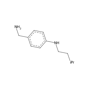 CC(C)CCNc1ccc(CN)cc1